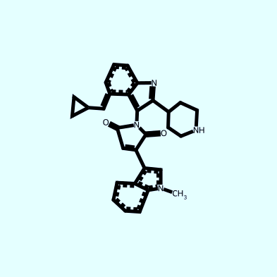 Cn1cc(C2=CC(=O)N(C3=c4c(cccc4=CC4CC4)N=C3C3CCNCC3)C2=O)c2ccccc21